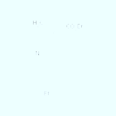 C=C(C(=O)OCC)c1ccc(CC)cn1